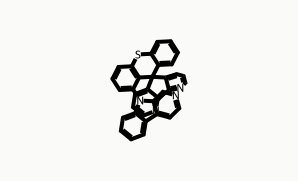 c1ccc2c(c1)Sc1cccc(-n3c4ccccc4c4ccncc43)c1C21c2cccnc2-c2ncccc21